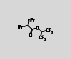 CCCC(C(=O)OC(C(F)(F)F)C(F)(F)F)C(C)C